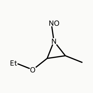 CCOC1C(C)N1N=O